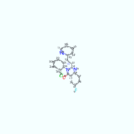 O=c1c2cc(F)ccc2nc(/C=C/c2ccccn2)n1-c1ccccc1Cl